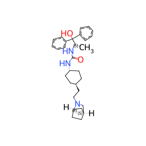 C[C@H](NC(=O)N[C@H]1CC[C@H](CCN2C[C@H]3CC[C@@H]2C3)CC1)C(O)(c1ccccc1)c1ccccc1